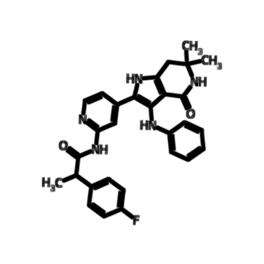 CC(C(=O)Nc1cc(-c2[nH]c3c(c2Nc2ccccc2)C(=O)NC(C)(C)C3)ccn1)c1ccc(F)cc1